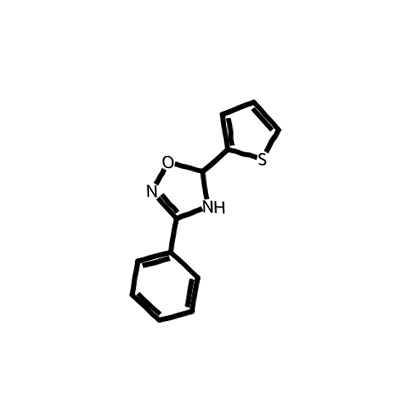 c1ccc(C2=NOC(c3cccs3)N2)cc1